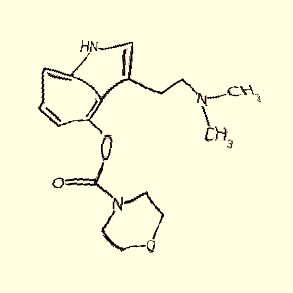 CN(C)CCc1c[nH]c2cccc(OC(=O)N3CCOCC3)c12